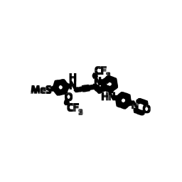 CSc1ccc(NCC#Cc2cc3c(Nc4ccc(N5CCOCC5)cc4)cccc3n2CC(F)(F)F)c(OCC(F)(F)F)c1